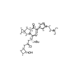 CCCC[C@H](CC(=O)CC1CCC1O)C(=O)N1CC2(CC2)C[C@H]1C(=O)Nc1cnn(CCN(C)C)c1